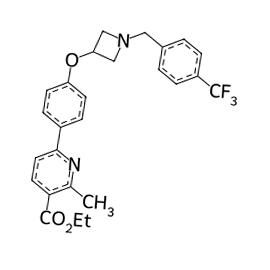 CCOC(=O)c1ccc(-c2ccc(OC3CN(Cc4ccc(C(F)(F)F)cc4)C3)cc2)nc1C